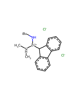 CCC(C)[NH][Zr+2]([CH]1c2ccccc2-c2ccccc21)[SiH](C)C.[Cl-].[Cl-]